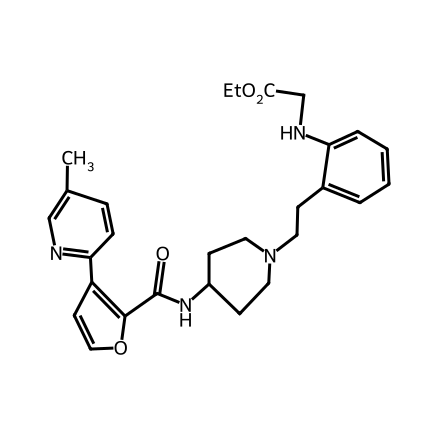 CCOC(=O)CNc1ccccc1CCN1CCC(NC(=O)c2occc2-c2ccc(C)cn2)CC1